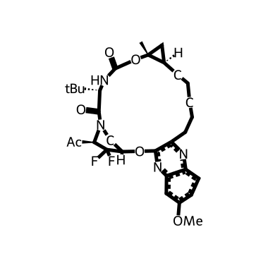 COc1ccc2nc3c(nc2c1)O[C@H]1CN(C(=O)[C@H](C(C)(C)C)NC(=O)O[C@]2(C)C[C@H]2CCCCC3)[C@H](C(C)=O)C1(F)F